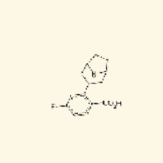 CN1C2CCC1CC(c1cc(F)ccc1C(=O)O)C2